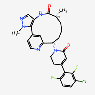 C[C@@H]1CCC[C@H](N2CCC(c3c(F)ccc(Cl)c3F)=CC2=O)c2cc(ccn2)-c2c(cnn2C)NC1=O